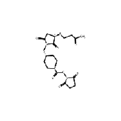 CC(=O)CCS[C@@H]1CC(=O)N(C[C@H]2CC[C@H](C(=O)ON3C(=O)CCC3=O)CC2)C1=O